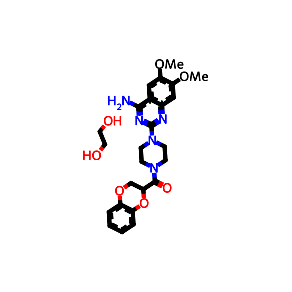 COc1cc2nc(N3CCN(C(=O)C4COc5ccccc5O4)CC3)nc(N)c2cc1OC.OCCO